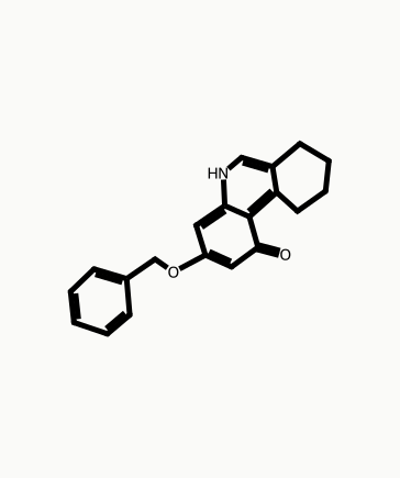 O=c1cc(OCc2ccccc2)cc2[nH]cc3c(c1-2)CCCC3